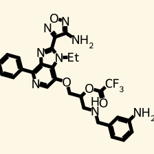 CCn1c(-c2nonc2N)nc2c(-c3ccccc3)ncc(OCC(CNCc3cccc(N)c3)OC(=O)C(F)(F)F)c21